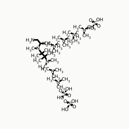 CC(CN)N(C)C(C)(C)C(C)(C)N(C)C.CN(C)C.CN(C)C.CN(C)C.CN(C)C.CN(C)C.CN(C)C.O=S(=O)(O)O.O=S(=O)(O)O.O=S(=O)(O)O